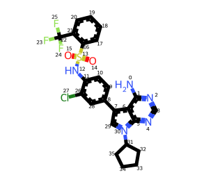 Nc1ncnc2c1c(-c1ccc(NS(=O)(=O)c3ccccc3C(F)(F)F)c(Cl)c1)cn2C1CCCC1